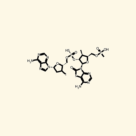 C[C@@H]1[C@@H](O[P@@](=O)(S)OC[C@H]2O[C@@H](n3cnc4c(N)ncnc43)CC2I)[C@H](n2c(=O)sc3c(N)ncnc32)O[C@@H]1COP(C)(=O)O